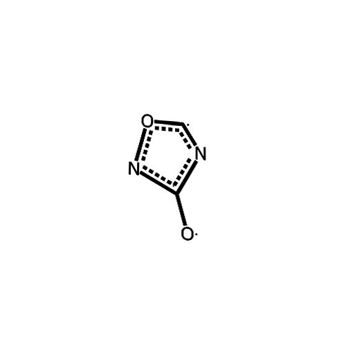 [O]c1n[c]on1